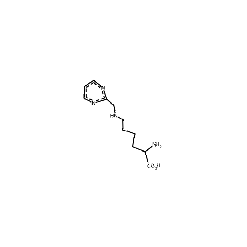 NC(CCCCNCc1ncccn1)C(=O)O